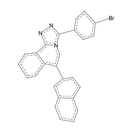 Brc1ccc(-c2nnc3c4ccccc4c(-c4ccc5ccccc5c4)cn23)cc1